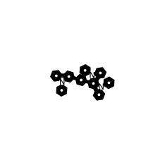 c1ccc(-n2c3ccccc3c3ccc(-c4ccc(-c5cc6c7ccccc7n(-c7ccccc7)c6c6c7ccccc7n(-c7ccccc7)c56)cc4)cc32)cc1